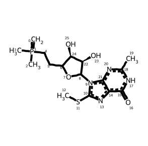 C=P(C)(C)CCC1OC(n2c(SC)nc3c(=O)[nH]c(C)nc32)[C@H](O)[C@@H]1O